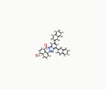 O=c1c2ccc(Br)c3cccc(c32)c2nc3c(-c4ccc5ccccc5c4)cc(-c4ccc5ccccc5c4)cc3n12